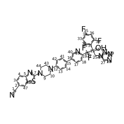 N#Cc1ccc2nc(N3CCN(c4ccc(-c5ccc(C(F)(F)[C@](O)(Cn6cnnn6)c6ccc(F)cc6F)nc5)cc4)CC3)sc2c1